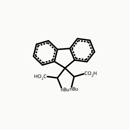 CCCCC(C(=O)O)C1(C(CCCC)C(=O)O)c2ccccc2-c2ccccc21